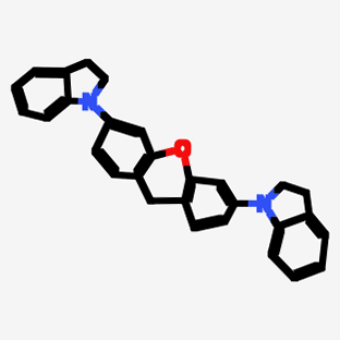 c1ccc2c(c1)CCN2c1ccc2c(c1)Oc1cc(N3CCc4ccccc43)ccc1C2